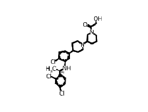 C[C@@H](Nc1cc(C2CCN(C3CCCN(C(=O)CO)C3)CC2)ccc1Cl)c1ccc(Cl)cc1Cl